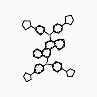 c1ccc2c(c1)c(N(c1ccc(C3CCCC3)cc1)c1ccc(C3CCCC3)cc1)cc1c3ccccc3c(N(c3ccc(C4CCCC4)cc3)c3ccc(C4CCCC4)cc3)cc21